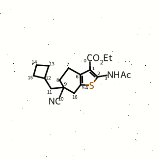 CCOC(=O)c1c(NC(C)=O)sc2c1CCC(C#N)(CC1CCC1)C2